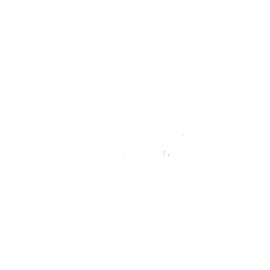 CCSc1nocc1C